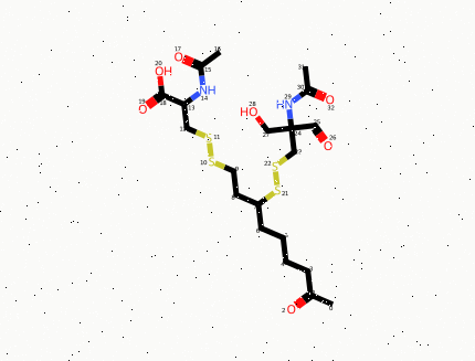 CC(=O)CCCCC(CCSSCC(NC(C)=O)C(=O)O)SSCC(C=O)(CO)NC(C)=O